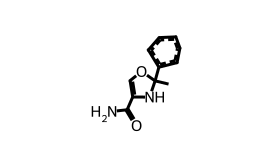 CC1(c2ccccc2)NC(C(N)=O)=CO1